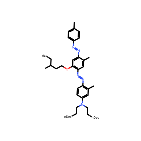 CCCCCCCCCCCCN(CCCCCCCCCCCC)c1ccc(/N=N/c2cc(C)c(/N=N/c3ccc(C)cc3)cc2OCCC(C)CC(C)(C)C)c(C)c1